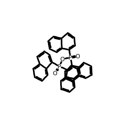 O=P(OP(=O)(c1cccc2ccccc12)c1cccc2ccccc12)(c1cccc2ccccc12)c1cccc2ccccc12